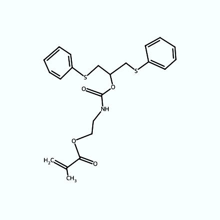 C=C(C)C(=O)OCCNC(=O)OC(CSc1ccccc1)CSc1ccccc1